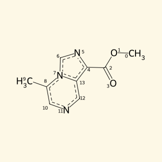 COC(=O)c1ncn2c(C)cncc12